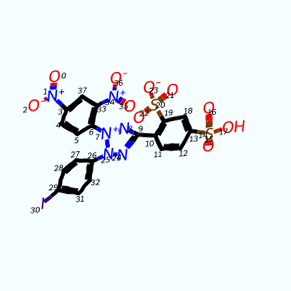 O=[N+]([O-])c1ccc(-[n+]2nc(-c3ccc(S(=O)(=O)O)cc3S(=O)(=O)[O-])nn2-c2ccc(I)cc2)c([N+](=O)[O-])c1